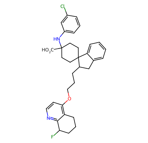 O=C(O)C1(Nc2cccc(Cl)c2)CCC2(CC1)c1ccccc1CC2CCCOc1ccnc2c1CCCC2F